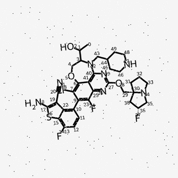 CC(O)C1COc2c(Cl)c(-c3ccc(F)c4sc(N)c(C#N)c34)c(F)c3nc(OC[C@@]45CCCN4C[C@H](F)C5)nc(c23)N1CC1CCNCC1